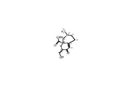 COC(=O)[C@]12C/C(=C/O)C(=O)C=C1CCN(C)C2